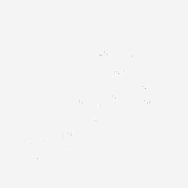 c1cc(-c2ccoc2)c2cc(-c3n[nH]c4ccc(-c5cncc(CNCC6CCCC6)c5)nc34)[nH]c2n1